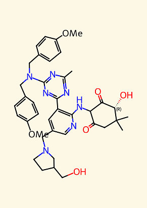 COc1ccc(CN(Cc2ccc(OC)cc2)c2nc(C)nc(-c3cc(CN4CCC(CO)C4)cnc3NC3C(=O)CC(C)(C)[C@@H](O)C3=O)n2)cc1